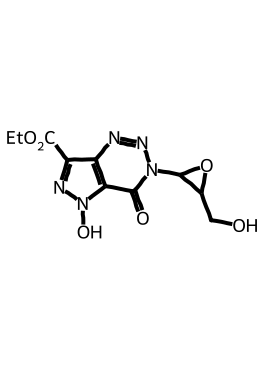 CCOC(=O)c1nn(O)c2c(=O)n(C3OC3CO)nnc12